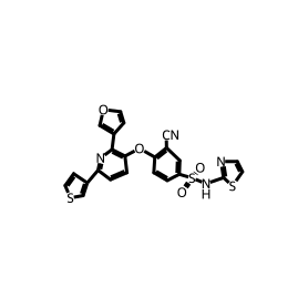 N#Cc1cc(S(=O)(=O)Nc2nccs2)ccc1Oc1ccc(-c2ccsc2)nc1-c1ccoc1